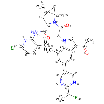 CC(=O)c1cn(CC(=O)N2[C@H](C(=O)Nc3nc(Br)ccc3C)C[C@@]3(C)C[C@@H]23)c2c(C)cc(-c3cnc(C(C)F)nc3)cc12